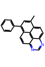 Cc1cc(-c2ccccc2)c2ccc3ncnc4ccc1c2c43